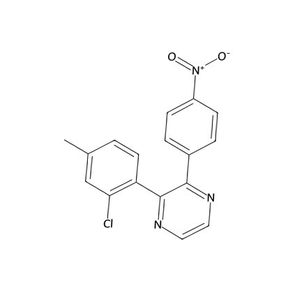 Cc1ccc(-c2nccnc2-c2ccc([N+](=O)[O-])cc2)c(Cl)c1